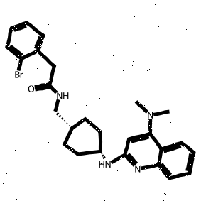 CN(C)c1cc(N[C@H]2CC[C@@H](CNC(=O)Cc3ccccc3Br)CC2)nc2ccccc12